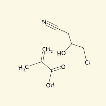 C=C(C)C(=O)O.N#CCC(O)CCl